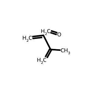 C=CC(=C)C.C=O